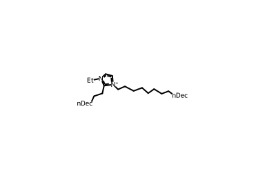 CCCCCCCCCCCCCCCCCC[n+]1ccn(CC)c1CCCCCCCCCCCC